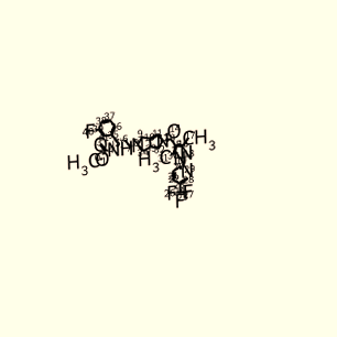 COC(=O)N[C@@H](CCN1CC2=CN(C(=O)c3c(C)nn(-c4ccc(C(F)(F)F)cn4)c3C)CC2C1)c1cccc(F)c1